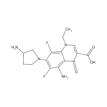 CCn1cc(C(=O)O)c(=O)c2c(N)c(F)c(N3CCC(N)C3)c(F)c21